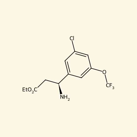 CCOC(=O)C[C@H](N)c1cc(Cl)cc(OC(F)(F)F)c1